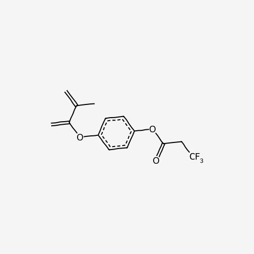 C=C(C)C(=C)Oc1ccc(OC(=O)CC(F)(F)F)cc1